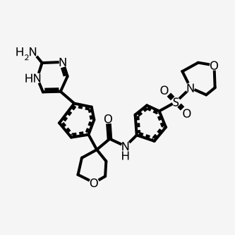 NC1N=CC(c2ccc(C3(C(=O)Nc4ccc(S(=O)(=O)N5CCOCC5)cc4)CCOCC3)cc2)=CN1